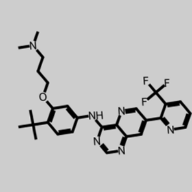 CN(C)CCCOc1cc(Nc2ncnc3cc(-c4ncccc4C(F)(F)F)cnc23)ccc1C(C)(C)C